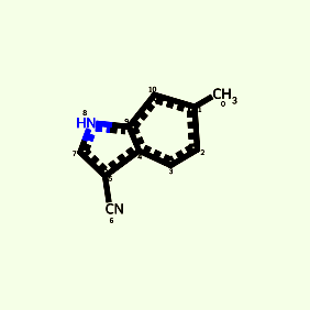 Cc1c[c]c2c(C#N)c[nH]c2c1